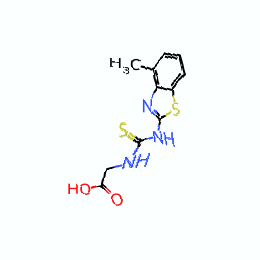 Cc1cccc2sc(NC(=S)NCC(=O)O)nc12